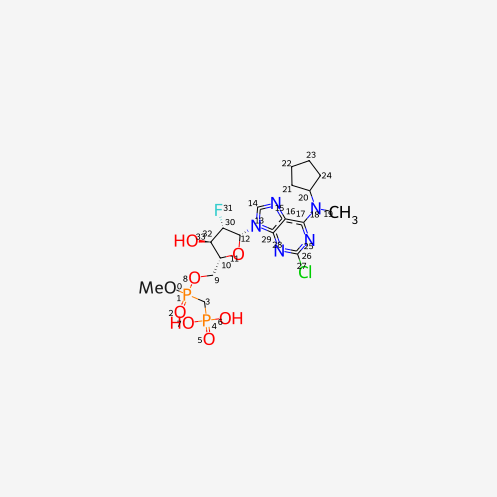 COP(=O)(CP(=O)(O)O)OC[C@H]1O[C@@H](n2cnc3c(N(C)C4CCCC4)nc(Cl)nc32)[C@@H](F)[C@@H]1O